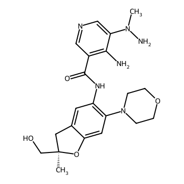 CN(N)c1cncc(C(=O)Nc2cc3c(cc2N2CCOCC2)O[C@@](C)(CO)C3)c1N